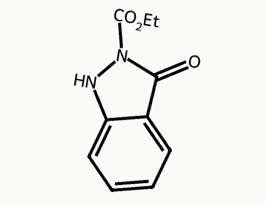 CCOC(=O)n1[nH]c2ccccc2c1=O